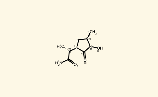 C[C@@H]1CN([C@@H](C)C(N)=O)C(=O)N1O